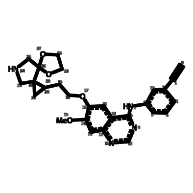 C#Cc1cccc(Nc2ncnc3cc(OC)c(OCCC4CC45CNCC54OCCO4)cc23)c1